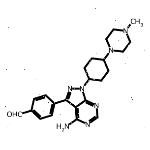 CN1CCN(C2CCC(n3nc(-c4ccc(C=O)cc4)c4c(N)ncnc43)CC2)CC1